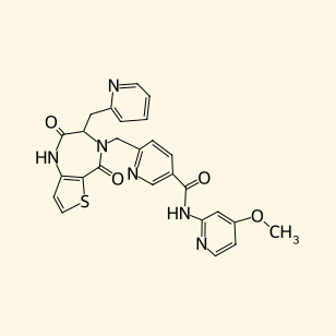 COc1ccnc(NC(=O)c2ccc(CN3C(=O)c4sccc4NC(=O)C3Cc3ccccn3)nc2)c1